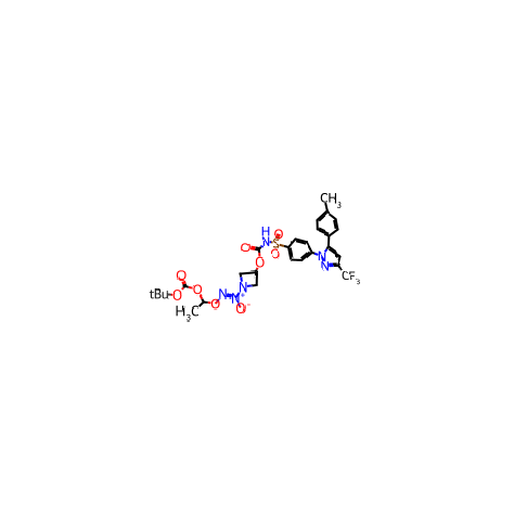 Cc1ccc(-c2cc(C(F)(F)F)nn2-c2ccc(S(=O)(=O)NC(=O)OC3CN([N+]([O-])=NOC(C)OC(=O)OC(C)(C)C)C3)cc2)cc1